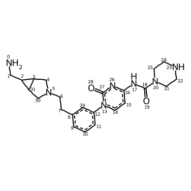 NCC1C2CN(CCc3cccc(-n4ccc(NC(=O)N5CCNCC5)nc4=O)c3)CC12